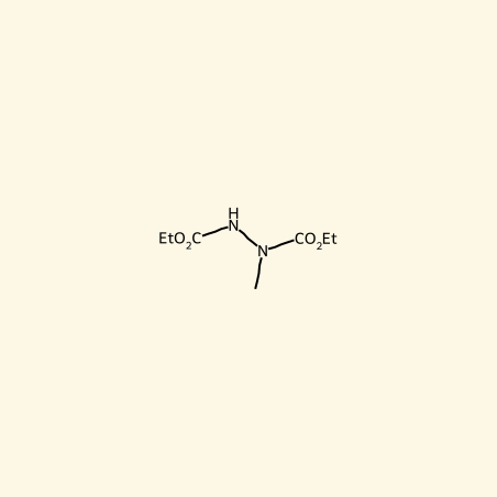 CCOC(=O)NN(C)C(=O)OCC